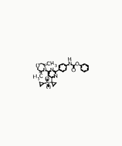 C[C@H]1COC[C@H](C)N1c1cc(C2(S(=O)(=O)C3CC3)CC2)nc(-c2ccc(NC(=O)Oc3ccccc3)cc2)n1